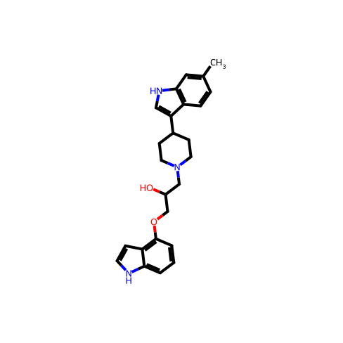 Cc1ccc2c(C3CCN(CC(O)COc4cccc5[nH]ccc45)CC3)c[nH]c2c1